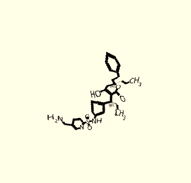 CCC[C@@]1(CCc2ccccc2)CC(O)=C([C@H](CC)c2cccc(NS(=O)(=O)c3ccc(CN)cn3)c2)C(=O)O1